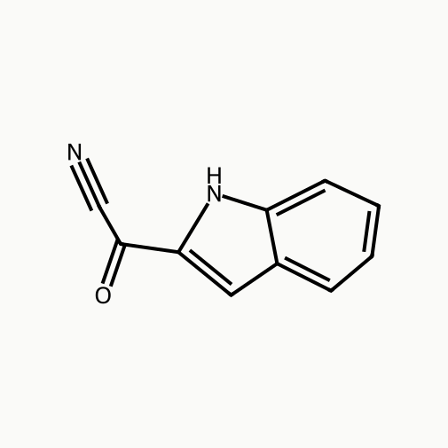 N#CC(=O)c1cc2ccccc2[nH]1